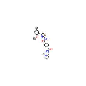 CCOc1ccc(CC)cc1-c1csc(NC(=O)c2ccc(C(=O)NCC3CCCN3CC)cc2)n1